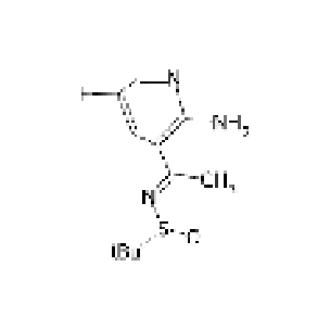 C/C(=N\[S@+]([O-])C(C)(C)C)c1cc(F)cnc1N